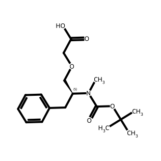 CN(C(=O)OC(C)(C)C)[C@H](COCC(=O)O)Cc1ccccc1